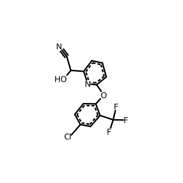 N#CC(O)c1cccc(Oc2ccc(Cl)cc2C(F)(F)F)n1